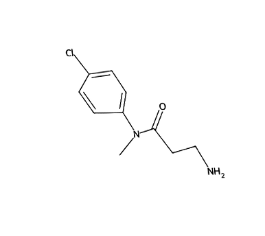 CN(C(=O)CCN)c1ccc(Cl)cc1